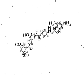 CC(C)(C)c1ccc(C(=O)O)c(C(=O)NCCC[C@H](NC(=O)c2ccc(NCc3cnc4nc(N)nc(N)c4n3)cc2)C(=O)O)c1